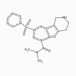 CN(C)C(=O)c1cc(S(=O)(=O)c2ccccc2)cc2c3c(oc12)CCNC3